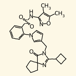 Cc1onc(NS(=O)(=O)c2ccccc2-n2ccc(CN3C(=O)C4(CCCC4)N=C3C3CCC3)c2)c1C